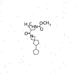 CCC(CNC(=O)OC)C(=O)N1CC2(CCC(C3CCCC3)C2)C1